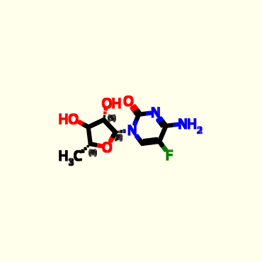 C[C@H]1O[C@@H](n2cc(F)c(N)nc2=O)[C@@H](O)C1O